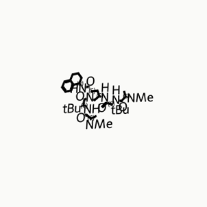 CN[C@@H](C)C(=O)N[C@H](C(=O)N[C@H]1C[C@@H](C(=O)N[C@@H]2CCCc3ccccc32)N(C(=O)[C@@H](NC(=O)[C@H](C)NC)C(C)(C)C)C1)C(C)(C)C